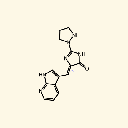 O=C1NC(N2CCCN2)=N/C1=C\c1c[nH]c2ncccc12